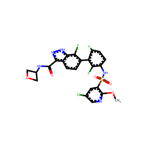 COc1ncc(Cl)cc1S(=O)(=O)Nc1ccc(F)c(-c2ccc3c(C(=O)NC4COC4)n[nH]c3c2F)c1F